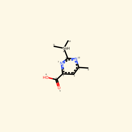 Cc1cc(C(=O)O)n[c]([SnH]([CH3])[CH3])n1